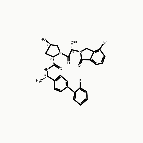 C[C@H](NC(=O)[C@@H]1C[C@@H](O)CN1C(=O)[C@@H](N1Cc2c(Br)cccc2C1=O)C(C)(C)C)c1ccc(-c2ccccc2F)cc1